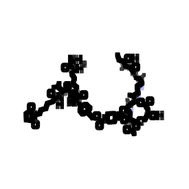 CC[C@H](O)[C@@H](C)[C@H]1O[C@@H]1C[C@H](C)/C=C/C=C(\C)[C@H]1OC(=O)C[C@H](O)CC[C@@](C)(OC(C)=O)[C@@H](OC(=O)N2CCN(C(=O)OCc3ccc(NC(=O)[C@H](CCCCNC(N)=O)NC(=O)[C@@H](NC(=O)CCCCCN4C(=O)C=CC4=O)C(C)C)cc3)CC2)/C=C/[C@@H]1C